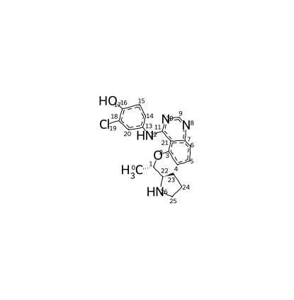 C[C@H](Oc1cccc2ncnc(Nc3ccc(O)c(Cl)c3)c12)[C@H]1CCCN1